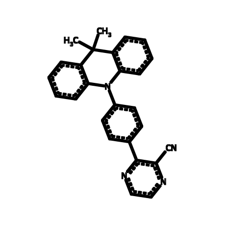 CC1(C)c2ccccc2N(c2ccc(-c3nccnc3C#N)cc2)c2ccccc21